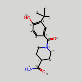 CC(C)(C)c1cc(C(=O)N2CCC(C(N)=O)CC2)ccc1O